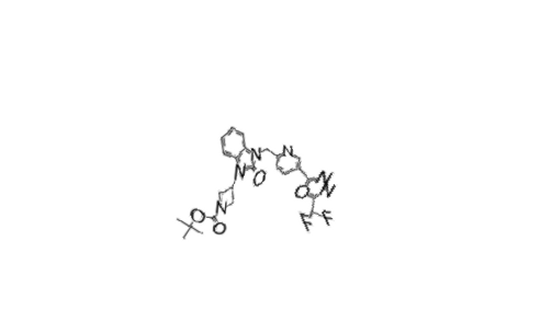 CC(C)(C)OC(=O)N1CC(n2c(=O)n(Cc3ccc(-c4nnc(C(F)F)o4)cn3)c3ccccc32)C1